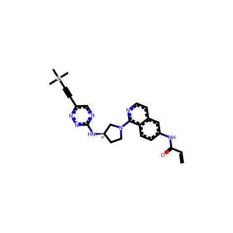 C=CC(=O)Nc1ccc2c(N3CC[C@@H](Nc4ncc(C#C[Si](C)(C)C)nn4)C3)nccc2c1